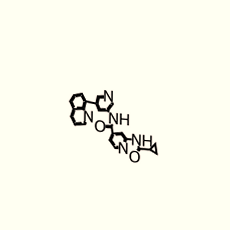 O=C(Nc1cncc(-c2cccc3cccnc23)c1)c1ccnc(NC(=O)C2CC2)c1